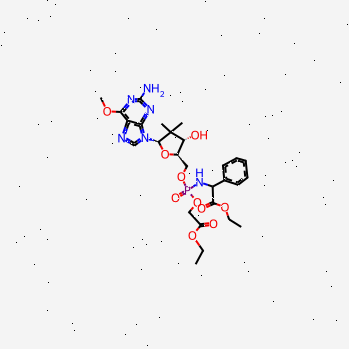 CCOC(=O)COP(=O)(NC(C(=O)OCC)c1ccccc1)OC[C@H]1O[C@@H](n2cnc3c(OC)nc(N)nc32)C(C)(C)[C@@H]1O